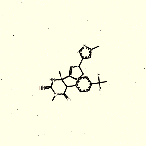 CN1C(=N)N[C@](C)(C2=CC(c3cnn(C)c3)CS2)C(c2ccc(C(C)(F)F)cc2)C1=O